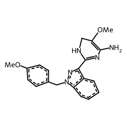 COC1=C(N)N=C(c2nn(Cc3ccc(OC)cc3)c3ccccc23)NC1